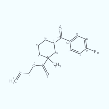 C=CCOC(=O)C1(C)CCCN(C(=O)c2ccc(F)cc2)C1